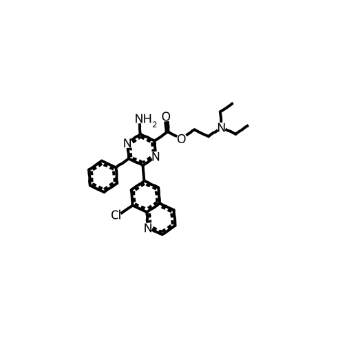 CCN(CC)CCOC(=O)c1nc(-c2cc(Cl)c3ncccc3c2)c(-c2ccccc2)nc1N